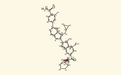 Cc1cc(-c2ccc3cc(-c4nn5cc(C(=O)N6CC7CCC6[C@@H]7N)cc(F)c5c4C)n(CC4CC4)c3n2)ccc1C(N)=O